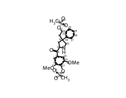 COc1cc(C(=O)C2CC(CCOS(C)(=O)=O)(c3ccccc3)CN2)cc(OC)c1OS(C)(=O)=O